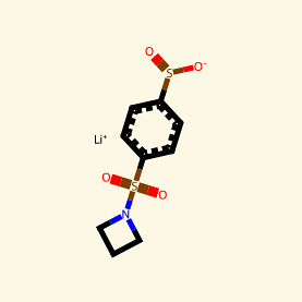 O=S([O-])c1ccc(S(=O)(=O)N2CCC2)cc1.[Li+]